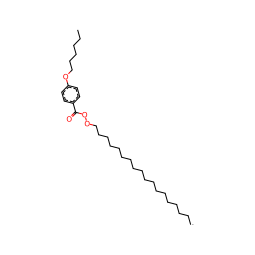 [CH2]CCCCCCCCCCCCCCCCCOOC(=O)c1ccc(OCCCCCC)cc1